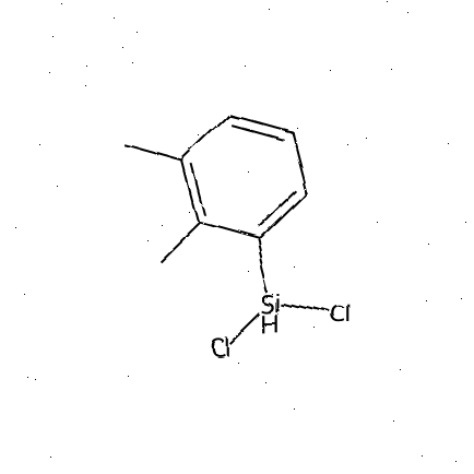 Cc1cccc([SiH](Cl)Cl)c1C